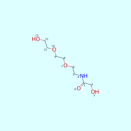 O=C(CO)NCCOCCOCCO